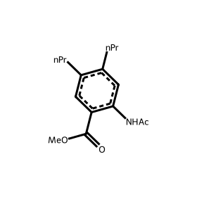 CCCc1cc(NC(C)=O)c(C(=O)OC)cc1CCC